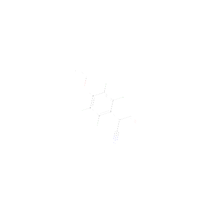 CCOc1c(F)c(F)c(C(C#N)C=O)c(F)c1F